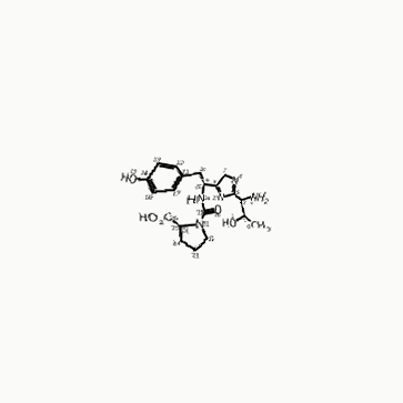 CC(O)C(N)C1=NCC([C@H](Cc2ccc(O)cc2)NC(=O)N2CCC[C@H]2C(=O)O)=N1